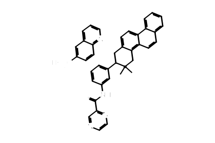 CC1(C)Cc2c(ccc3c2ccc2ccccc23)CC1c1cccc(NC(=O)c2cnccn2)c1.O=C(O)c1ccc2ncccc2c1